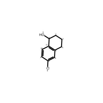 OC1CCCc2cc(Cl)ccc21